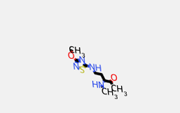 CNC(CCNc1nc(OC)ns1)C(C)=O